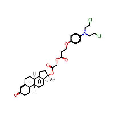 CC(=O)[C@@]1(OC(=O)COC(=O)CCOc2ccc(N(CCCl)CCCl)cc2)CC[C@H]2[C@@H]3CCC4=CC(=O)CC[C@]4(C)[C@H]3CC[C@@]21C